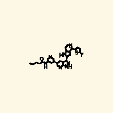 CCCCC(=O)Nc1cncc(-c2cnc3[nH]nc(-c4cc5c(-c6ccc(F)s6)nccc5[nH]4)c3c2)c1